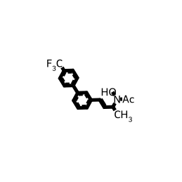 CC(=O)N(O)C(C)C=Cc1cccc(-c2ccc(C(F)(F)F)cc2)c1